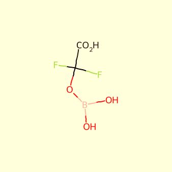 O=C(O)C(F)(F)OB(O)O